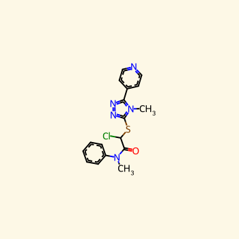 CN(C(=O)C(Cl)Sc1nnc(-c2ccncc2)n1C)c1ccccc1